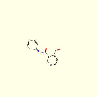 O=Cc1ccccc1C(=O)N=C1[C]=CC=[C]C1